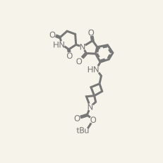 CC(C)(C)OC(=O)N1CC2(CC(CNc3cccc4c3C(=O)N(C3CCC(=O)NC3=O)C4=O)C2)C1